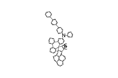 c1ccc(-c2ccc(-c3ccc(N(c4ccccc4)c4ccc5c(c4)-c4ccccc4-c4ccccc4C54c5ccccc5-c5c4cc4ccc6cccc7ccc5c4c67)cc3)cc2)cc1